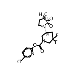 C[C@@H]1CCN([C@H]2CN(C(=O)Oc3ccc(Cl)cn3)CC(F)(F)C2)S1(=O)=O